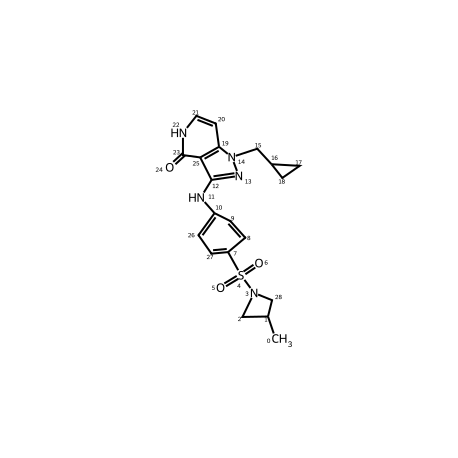 CC1CN(S(=O)(=O)c2ccc(Nc3nn(CC4CC4)c4cc[nH]c(=O)c34)cc2)C1